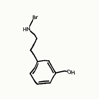 Oc1cccc(CCNBr)c1